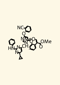 CO/C=C(/C(=O)OC)c1ccccc1Oc1cc(Oc2ccccc2C#N)ncn1.Cc1cc(C2CC2)nc(Nc2ccccc2)n1